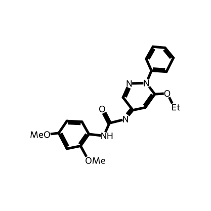 CCOc1cc(=NC(=O)Nc2ccc(OC)cc2OC)cnn1-c1ccccc1